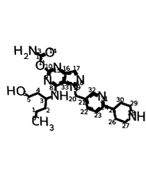 CCCC(CCO)Nc1nc(OC(N)=O)nc2cnn(Cc3ccc(C4CCNCC4)nc3)c12